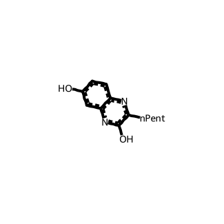 CCCCCc1nc2ccc(O)cc2nc1O